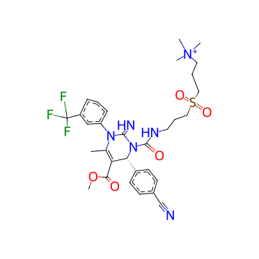 COC(=O)C1=C(C)N(c2cccc(C(F)(F)F)c2)C(=N)N(C(=O)NCCCS(=O)(=O)CCC[N+](C)(C)C)[C@@H]1c1ccc(C#N)cc1